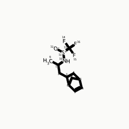 CC(CC1CC2C=CC1C2)N[S+]([O-])C(F)(F)F